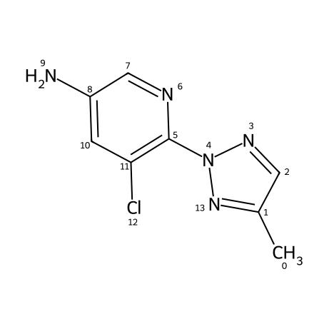 Cc1cnn(-c2ncc(N)cc2Cl)n1